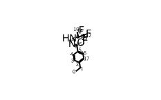 CCc1ccc(C2=NNC(C)(C(F)(F)F)O2)cc1